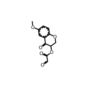 COc1ccc2c(c1)C(=O)C(OC(=O)C=O)CO2